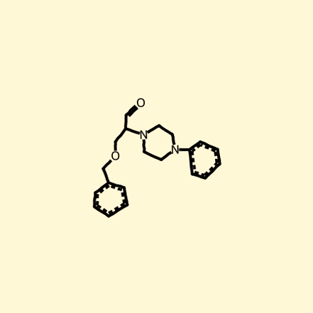 O=CC(COCc1ccccc1)N1CCN(c2ccccc2)CC1